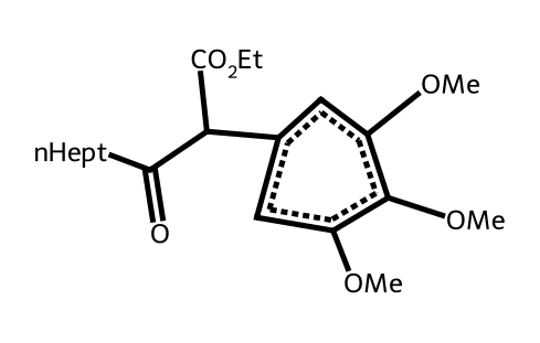 CCCCCCCC(=O)C(C(=O)OCC)c1cc(OC)c(OC)c(OC)c1